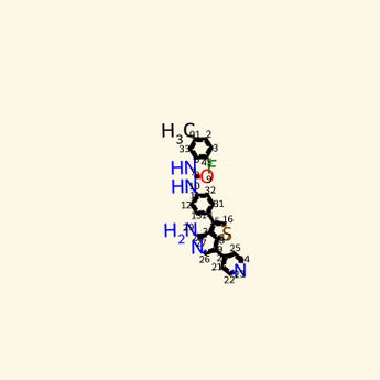 Cc1ccc(F)c(NC(=O)Nc2ccc(-c3csc4c(-c5ccncc5)cnc(N)c34)cc2)c1